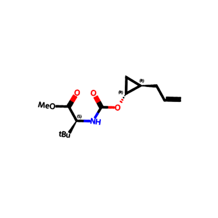 C=CC[C@@H]1C[C@H]1OC(=O)N[C@H](C(=O)OC)C(C)(C)C